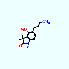 CC1(C)C(=O)Nc2ccc(CCCN)c(O)c21